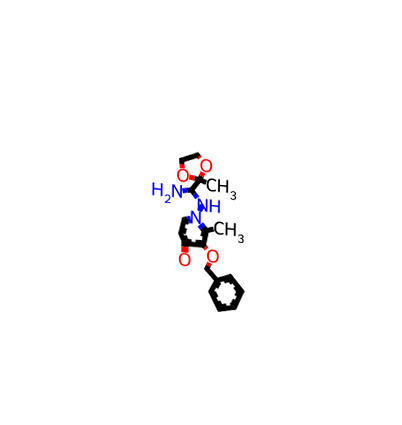 Cc1c(OCc2ccccc2)c(=O)ccn1NC(N)C1(C)OCCO1